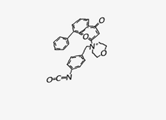 O=C=Nc1ccc(C[N+]2(c3cc(=O)c4cccc(-c5ccccc5)c4o3)CCOCC2)cc1